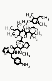 CCC1[C@@H](C)C(C)[C@@H](C(=O)N[C@H](C(=O)N(C)C([C@@H](C)CC)[C@@H](CC(=O)N2CCC[C@H]2[C@H](OC)[C@@H](C)C(=O)N[C@@H](Cc2ccc(N)cc2)c2nccs2)OC)C(C)C)N1C